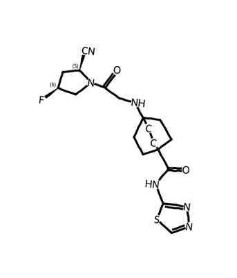 N#C[C@@H]1C[C@H](F)CN1C(=O)CNC12CCC(C(=O)Nc3nncs3)(CC1)CC2